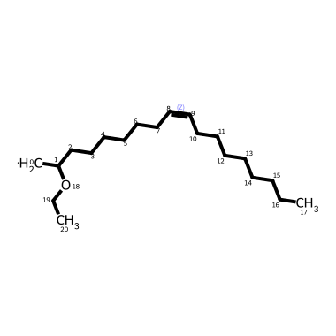 [CH2]C(CCCCCC/C=C\CCCCCCCC)OCC